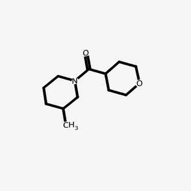 CC1CCCN(C(=O)C2CCOCC2)C1